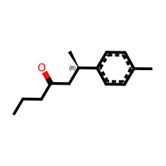 CCCC(=O)C[C@@H](C)c1ccc(C)cc1